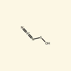 [N-]=[N+]=NSO